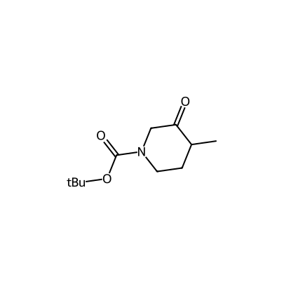 CC1CCN(C(=O)OC(C)(C)C)CC1=O